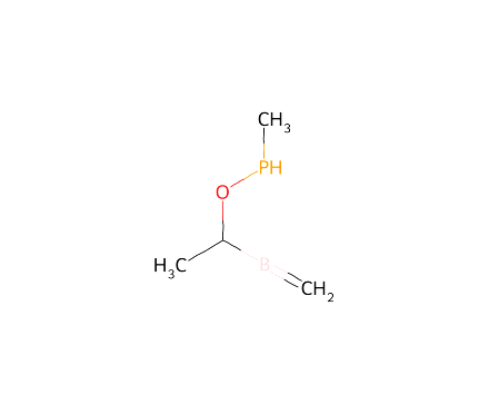 C=BC(C)OPC